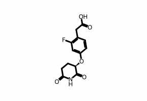 O=C(O)Cc1ccc(O[C@@H]2CCC(=O)NC2=O)cc1F